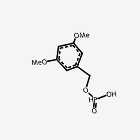 COc1cc(CO[PH](=O)O)cc(OC)c1